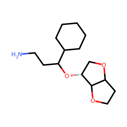 NCCC(O[C@@H]1COC2CCOC21)C1CCCCC1